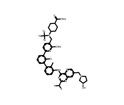 [2H]C([2H])([2H])N(Cc1ccc(-c2cccc(-c3cccc(Nc4nc(C(F)F)nc5cc(CN6CC[C@@H](O)C6)cnc45)c3C)c2Cl)nc1OC)C1CCC(C(=O)OC)CC1